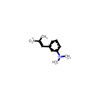 CC(=Cc1cccc(N(C)C)c1)[N+](=O)[O-]